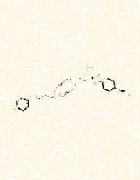 N#Cc1ccc(S(=O)(=O)NCCN2CC3CN(CCCOc4ccc(F)cc4)CC(C2)O3)cc1